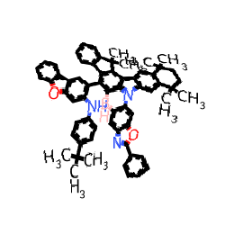 CC(C)(C)c1ccc(Nc2cc3oc4ccccc4c3cc2-c2c3c(c4c5cc6c(cc5n5c4c2Bc2cc4nc(-c7ccccc7)oc4cc2-5)C(C)(C)CCC6(C)C)C(C)(C)c2ccccc2-3)cc1